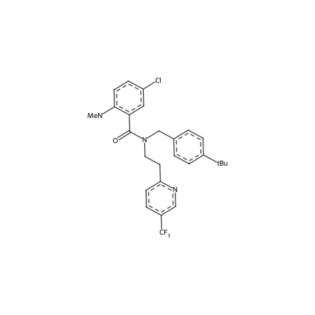 CNc1ccc(Cl)cc1C(=O)N(CCc1ccc(C(F)(F)F)cn1)Cc1ccc(C(C)(C)C)cc1